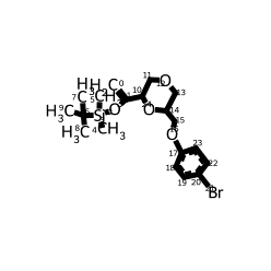 C=C(O[Si](C)(C)C(C)(C)C)C1COCC(COc2ccc(Br)cc2)O1